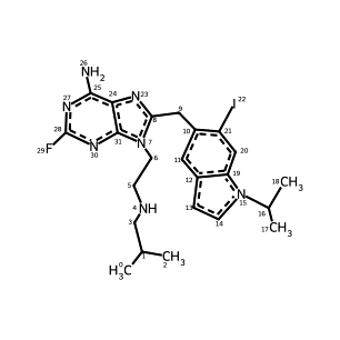 CC(C)CNCCn1c(Cc2cc3ccn(C(C)C)c3cc2I)nc2c(N)nc(F)nc21